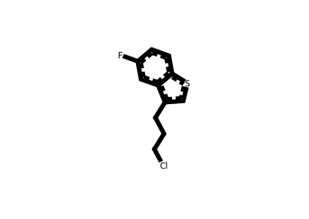 Fc1ccc2scc(CCCCl)c2c1